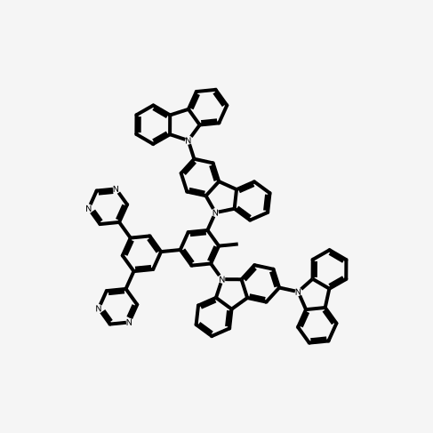 Cc1c(-n2c3ccccc3c3cc(-n4c5ccccc5c5ccccc54)ccc32)cc(-c2cc(-c3cncnc3)cc(-c3cncnc3)c2)cc1-n1c2ccccc2c2cc(-n3c4ccccc4c4ccccc43)ccc21